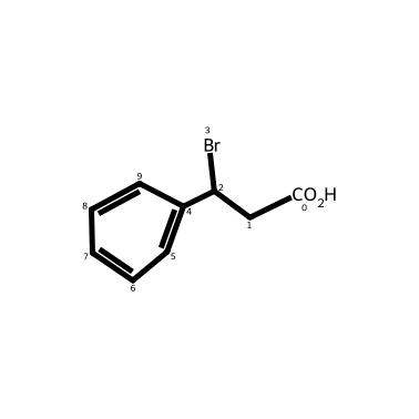 O=C(O)CC(Br)c1ccccc1